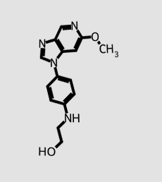 COc1cc2c(cn1)ncn2-c1ccc(NCCO)cc1